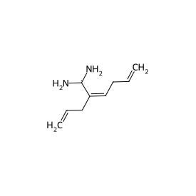 C=CCC=C(CC=C)[C](N)N